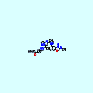 C=C(NCc1ccc2c(c1)N/C(=N/C#N)CO2)c1cc(C(=C)NCC23CCC(C(=O)OC)(CC2)CC3)n2nccc2n1